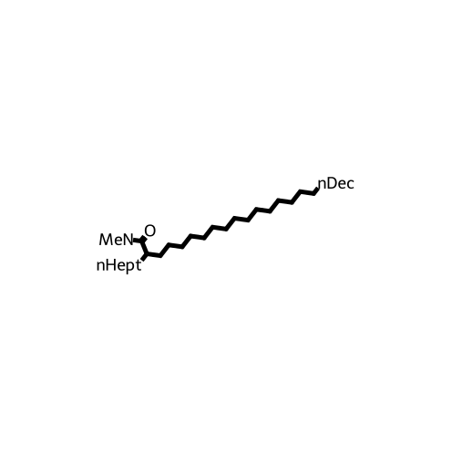 CCCCCCCCCCCCCCCCCCCCCCCCCC(CCCCCCC)C(=O)NC